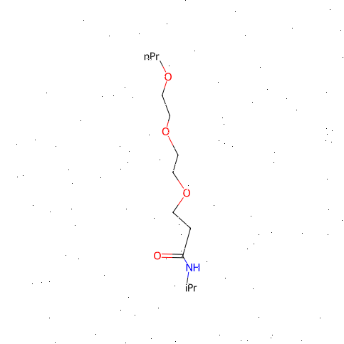 CCCOCCOCCOCCC(=O)NC(C)C